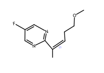 COCC/C=C(/C)c1ncc(F)cn1